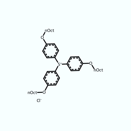 CCCCCCCCOc1ccc([S+](c2ccc(OCCCCCCCC)cc2)c2ccc(OCCCCCCCC)cc2)cc1.[Cl-]